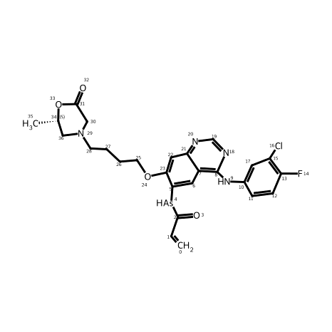 C=CC(=O)[AsH]c1cc2c(Nc3ccc(F)c(Cl)c3)ncnc2cc1OCCCCN1CC(=O)O[C@@H](C)C1